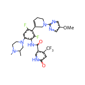 COc1cnc(N2CCC=C(c3c(F)cc(N4CCN(C)C(C)C4)c(NC(=O)c4c[nH]c(=O)cc4C(F)(F)F)c3F)C2)nc1